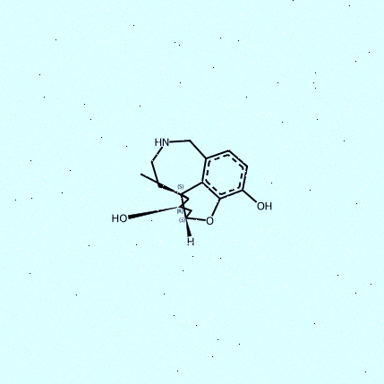 CC1[C@H](O)C[C@@H]2Oc3c(O)ccc4c3[C@]12CCNC4